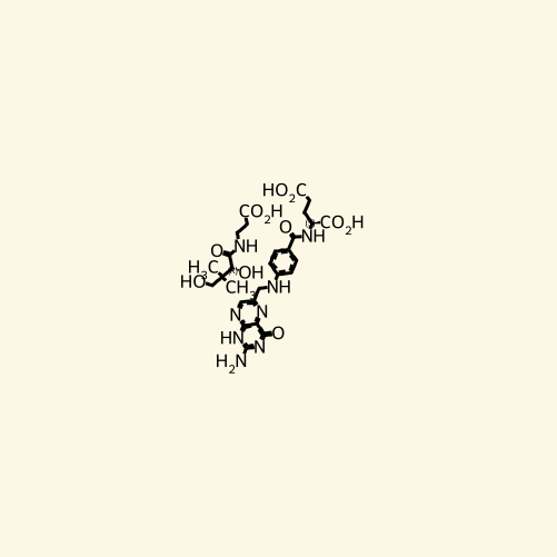 CC(C)(CO)[C@@H](O)C(=O)NCCC(=O)O.Nc1nc(=O)c2nc(CNc3ccc(C(=O)N[C@@H](CCC(=O)O)C(=O)O)cc3)cnc2[nH]1